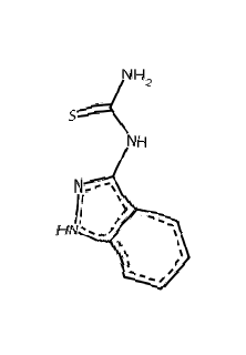 NC(=S)Nc1n[nH]c2ccccc12